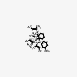 CCCC[C@H]1CC[C@H](C2CCCC(OCCC)([SiH2]OC(C)=CC(C)=O)C2([SiH2]OC(C)=CC(C)=O)[SiH2]OC(C)=CC(C)=O)CC1